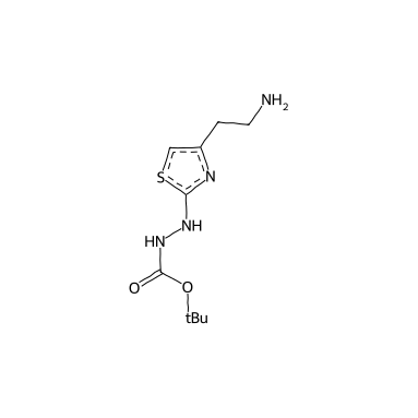 CC(C)(C)OC(=O)NNc1nc(CCN)cs1